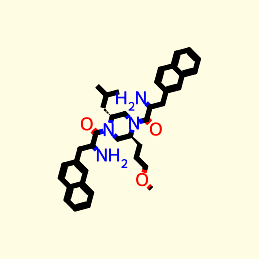 COCCC[C@H]1CN(C(=O)C(N)Cc2ccc3ccccc3c2)[C@H](CC(C)C)CN1C(=O)C(N)Cc1ccc2ccccc2c1